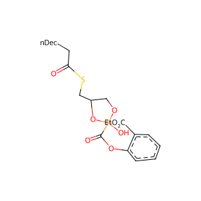 CCCCCCCCCCCC(=O)SCC1CO[P](O)(C(=O)Oc2ccccc2C(=O)OCC)O1